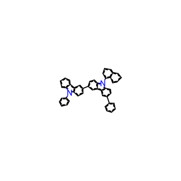 c1ccc(-c2ccc3c(c2)c2cc(-c4ccc5c(c4)c4ccccc4n5-c4ccccc4)ccc2n3-c2cccc3ccccc23)cc1